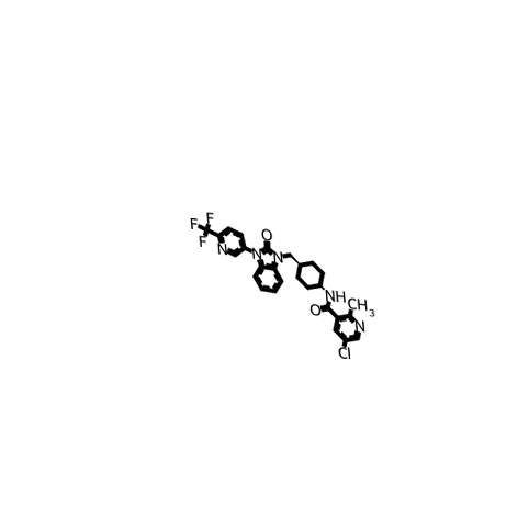 Cc1ncc(Cl)cc1C(=O)N[C@H]1CC[C@H](Cn2c(=O)n(-c3ccc(C(F)(F)F)nc3)c3ccccc32)CC1